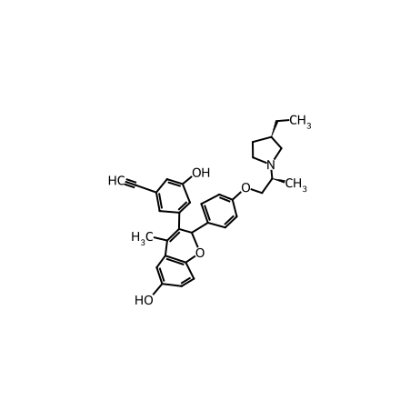 C#Cc1cc(O)cc(C2=C(C)c3cc(O)ccc3OC2c2ccc(OC[C@H](C)N3CC[C@@H](CC)C3)cc2)c1